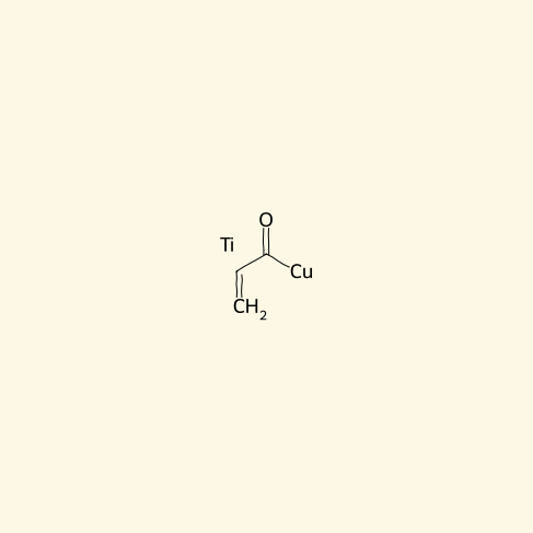 C=C[C](=O)[Cu].[Ti]